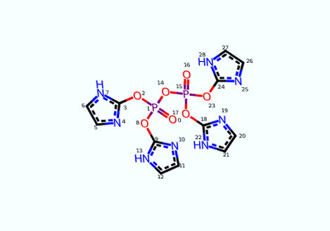 O=P(Oc1ncc[nH]1)(Oc1ncc[nH]1)OP(=O)(Oc1ncc[nH]1)Oc1ncc[nH]1